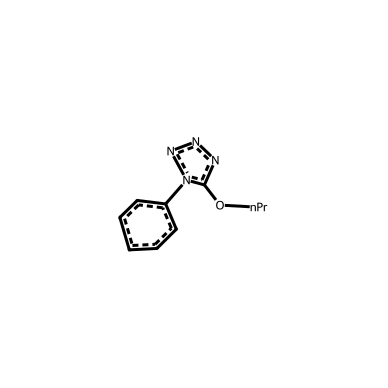 [CH2]CCOc1nnnn1-c1ccccc1